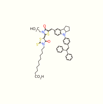 O=C(O)CCCCCCCCCCN1C(=O)/C(=c2\s/c(=C\c3ccc4c(c3)C3CCCC3N4c3ccc(C=C(c4ccccc4)c4ccccc4)cc3)c(=O)n2CC(=O)O)SC1=S